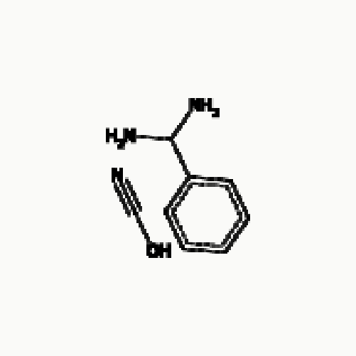 N#CO.NC(N)c1ccccc1